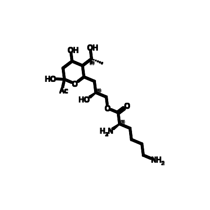 CC(=O)C1(O)CC(O)C([C@@H](C)O)C(C[C@H](O)COC(=O)[C@H](N)CCCCN)O1